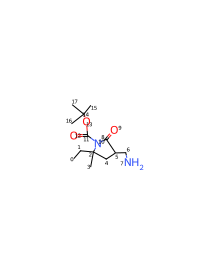 CCC1(C)CC(CN)C(=O)N1C(=O)OC(C)(C)C